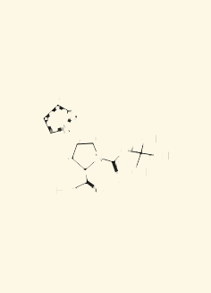 CC(C)(C)OC(=O)N1C[C@@H](n2cccn2)C[C@@H]1C(=O)O